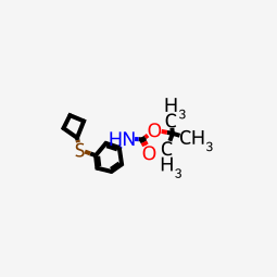 CC(C)(C)OC(=O)Nc1cccc(SC2CCC2)c1